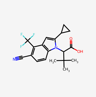 CC(C)(C)C(C(=O)O)n1c(C2CC2)cc2c(C(F)(F)F)c(C#N)ccc21